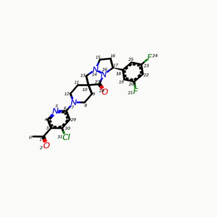 CC(=O)c1cnc(N2CCC3(CC2)CN2CC[C@@H](c4cc(F)cc(F)c4)N2C3=O)cc1Cl